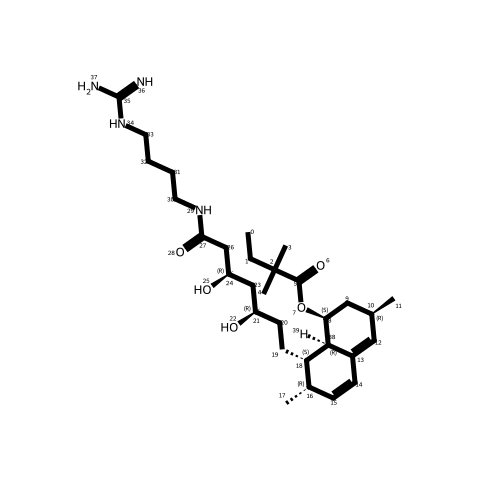 CCC(C)(C)C(=O)O[C@H]1C[C@@H](C)C=C2C=C[C@H](C)[C@H](CC[C@@H](O)C[C@@H](O)CC(=O)NCCCCNC(=N)N)[C@H]21